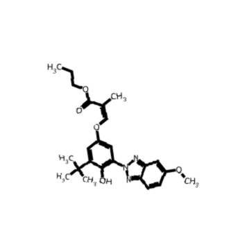 CCCOC(=O)C(C)=COc1cc(-n2nc3ccc(OC)cc3n2)c(O)c(C(C)(C)C)c1